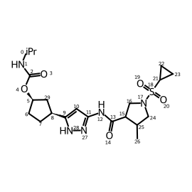 CC(C)NC(=O)O[C@@H]1CC[C@H](c2cc(NC(=O)C3CN(S(=O)(=O)C4CC4)CC3C)n[nH]2)C1